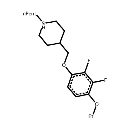 CCCCC[SiH]1CCC(COc2ccc(OCC)c(F)c2F)CC1